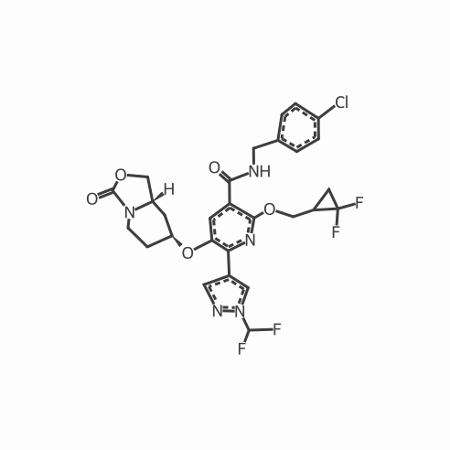 O=C(NCc1ccc(Cl)cc1)c1cc(O[C@H]2CCN3C(=O)OC[C@@H]3C2)c(-c2cnn(C(F)F)c2)nc1OCC1CC1(F)F